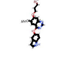 COc1cc2c(Oc3ccc4[nH]ccc4c3)ncnc2cc1OCCCBr